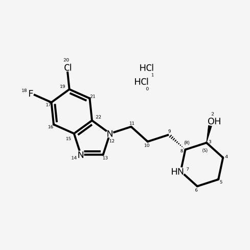 Cl.Cl.O[C@H]1CCCN[C@@H]1CCCn1cnc2cc(F)c(Cl)cc21